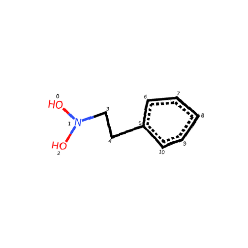 ON(O)CCc1ccccc1